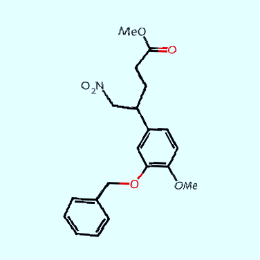 COC(=O)CCC(C[N+](=O)[O-])c1ccc(OC)c(OCc2ccccc2)c1